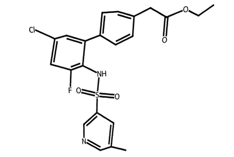 CCOC(=O)Cc1ccc(-c2cc(Cl)cc(F)c2NS(=O)(=O)c2cncc(C)c2)cc1